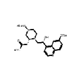 CCCCCCCN1CCN(C[C@H](O)c2ccnc3ccc(OC)cc23)[C@H](CC(=O)OC)C1